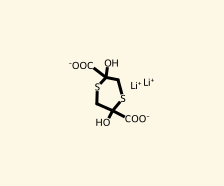 O=C([O-])C1(O)CSC(O)(C(=O)[O-])CS1.[Li+].[Li+]